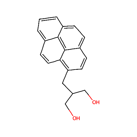 OCC(CO)Cc1ccc2ccc3cccc4ccc1c2c34